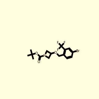 CC(C)(C)OC(=O)N1CC(OCc2ccc(Br)cc2C(F)(F)F)C1